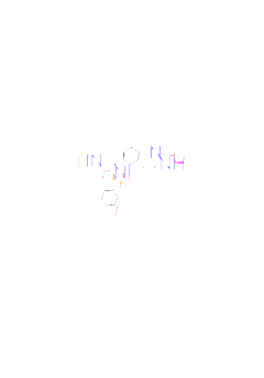 O=C1CN(Cc2ccc(C3(NS(=O)(=O)c4cccc(OC5CCCC5)c4)CCNCC3)cc2)C(=O)N1